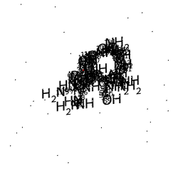 CC(C)C[C@H](NC(=O)[C@H](CCCCN)NC(=O)[C@H](CCCNC(=N)N)NC(=O)[C@H](C)NC(=O)[C@H](Cc1ccc(O)cc1)NC(=O)[C@@H]1CSSC[C@H](NC(=O)[C@@H](N)Cc2ccc(O)cc2)C(=O)N[C@@H](CCCNC(=N)N)C(=O)N[C@@H](Cc2ccccc2)C(=O)N[C@@H](Cc2ccccc2)C(=O)N[C@@H](CC(N)=O)C(=O)N[C@@H](C)C(=O)N[C@@H](Cc2ccccc2)C(=O)N1)C(N)=O